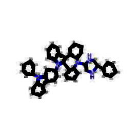 C1=C(N2c3ccccc3-c3c(n(-c4ccc5c6ccccc6n(-c6ccccc6)c5c4)c4ccccc34)-c3ccccc32)NCC(c2ccccc2)N1